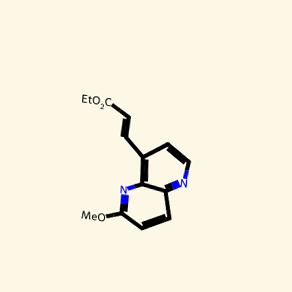 CCOC(=O)C=Cc1ccnc2ccc(OC)nc12